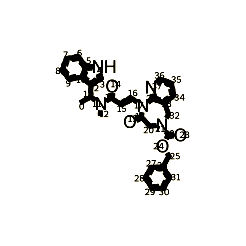 CC(c1c[nH]c2ccccc12)N(C)C(=O)/C=C/N1C(=O)CN(C(=O)OCc2ccccc2)Cc2cccnc21